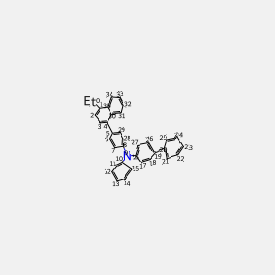 CCc1ccc(-c2ccc(N(c3ccccc3)c3ccc(-c4ccccc4)cc3)cc2)c2ccccc12